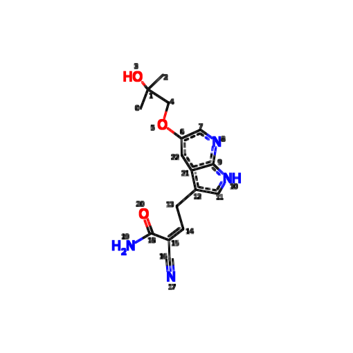 CC(C)(O)COc1cnc2[nH]cc(CC=C(C#N)C(N)=O)c2c1